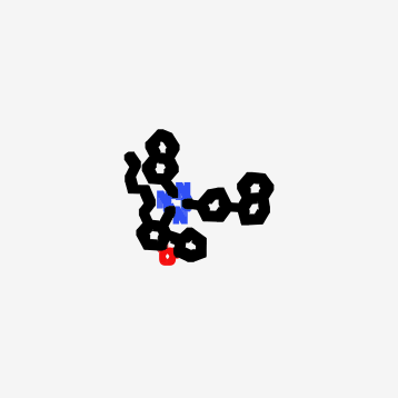 C=C/C=C\C=C/Cc1ccc2oc3ccccc3c2c1-c1nc(-c2ccc(-c3cccc4ccccc34)cc2)nc(-c2ccc3ccccc3c2)n1